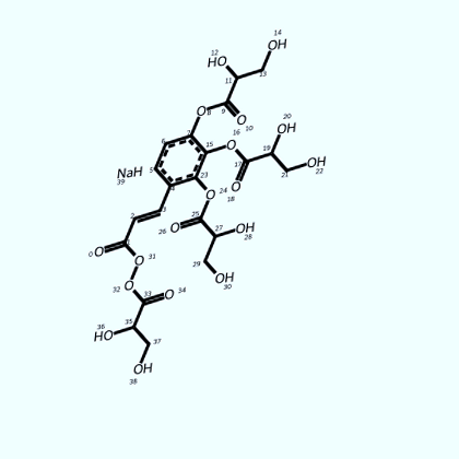 O=C(C=Cc1ccc(OC(=O)C(O)CO)c(OC(=O)C(O)CO)c1OC(=O)C(O)CO)OOC(=O)C(O)CO.[NaH]